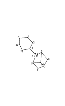 [CH]1CCC(N2C3CCCC2C3)CC1